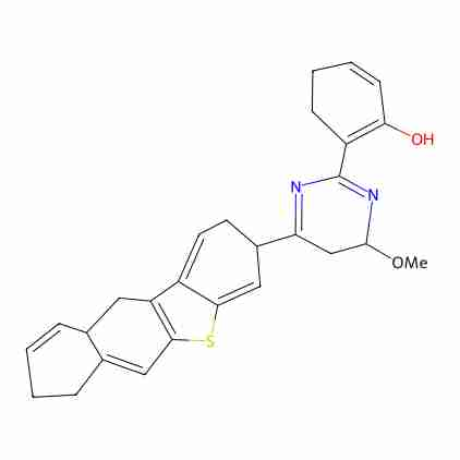 COC1CC(C2C=c3sc4c(c3=CC2)CC2C=CCCC2=C4)=NC(C2=C(O)C=CCC2)=N1